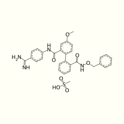 COc1ccc(-c2ccccc2C(=O)NOCc2ccccc2)c(C(=O)Nc2ccc(C(=N)N)cc2)c1.CS(=O)(=O)O